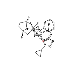 Fc1cccc2sc(N3[C@@H]4CC[C@H]3CC(OCc3c(-c5ccccc5OC(F)(F)F)noc3C3CC3)C4)nc12